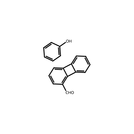 O=Cc1cccc2c1-c1ccccc1-2.Oc1ccccc1